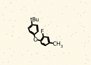 Cc1ccc(Oc2ccc(C(C)(C)C)cc2)c(F)c1